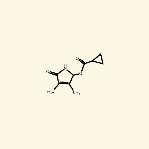 CC1=C(C)C(OC(=O)C2CC2)NC1=O